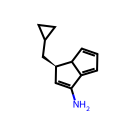 NC1=C[C@@H](CC2CC2)C2C=CC=C12